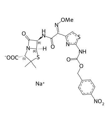 CON=C(C(=O)N[C@@H]1C(=O)N2[C@@H]1SC(C)(C)[C@@H]2C(=O)[O-])c1csc(NC(=O)OCc2ccc([N+](=O)[O-])cc2)n1.[Na+]